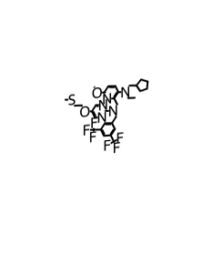 CCN(CC1CCCC1)c1ccc(OC)nc1CN(Cc1cc(C(F)(F)F)cc(C(F)(F)F)c1)c1ncc(OCCSC)cn1